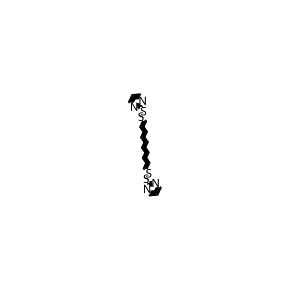 c1cnc(SSCCCCCCCCCCSSc2ncccn2)nc1